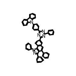 c1ccc(-c2nc(-c3ccc(-n4c5ccccc5c5ccccc54)cc3)nc(-c3ccc4c(c3)cc(-c3ccccc3)c3c(-c5ccccc5)nn(-c5ccccc5)c34)n2)cc1